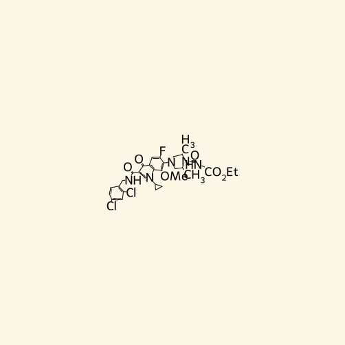 CCOC(=O)CNC(=O)N1C(C)CN(c2c(F)cc3c(=O)c(C(=O)NCc4ccc(Cl)cc4Cl)cn(C4CC4)c3c2OC)CC1C